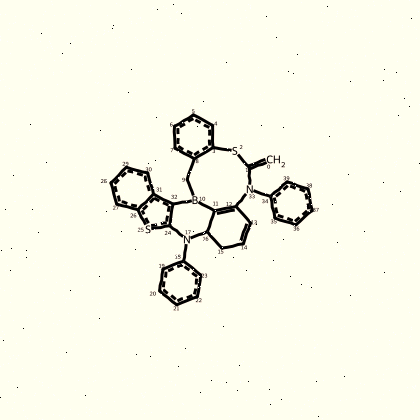 C=C1Sc2ccccc2CB2C3=C(C=CCC3N(c3ccccc3)c3sc4ccccc4c32)N1c1ccccc1